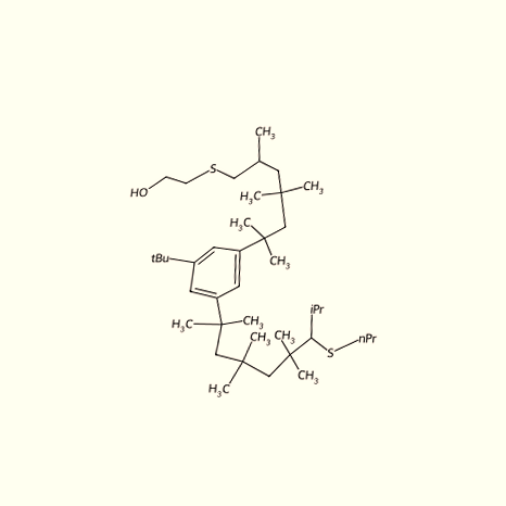 CCCSC(C(C)C)C(C)(C)CC(C)(C)CC(C)(C)c1cc(C(C)(C)C)cc(C(C)(C)CC(C)(C)CC(C)CSCCO)c1